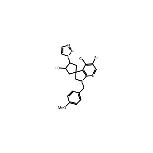 COc1ccc(CN2CC3(CC(O)C(n4ccnn4)C3)c3c2ncc(Br)c3Cl)cc1